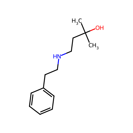 CC(C)(O)CCNCCc1ccccc1